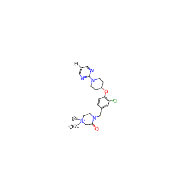 CCc1cnc(N2CCC(Oc3ccc(CN4CC[N+](C(=O)[O-])(C(C)(C)C)CC4=O)cc3Cl)CC2)nc1